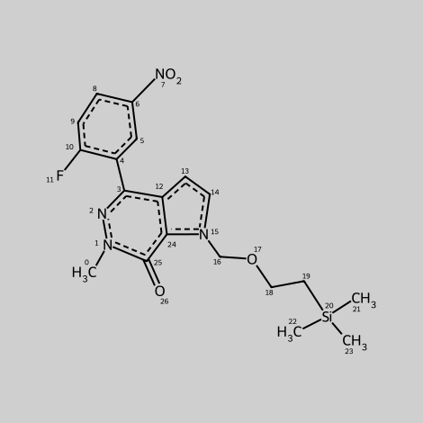 Cn1nc(-c2cc([N+](=O)[O-])ccc2F)c2ccn(COCC[Si](C)(C)C)c2c1=O